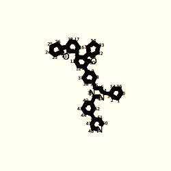 c1ccc(-c2cc(-c3ccc(-c4ccc(-c5cccc6c5oc5ccccc56)c5c4oc4ccccc45)cc3)nc(-c3cccc(-c4ccncc4)c3)n2)cc1